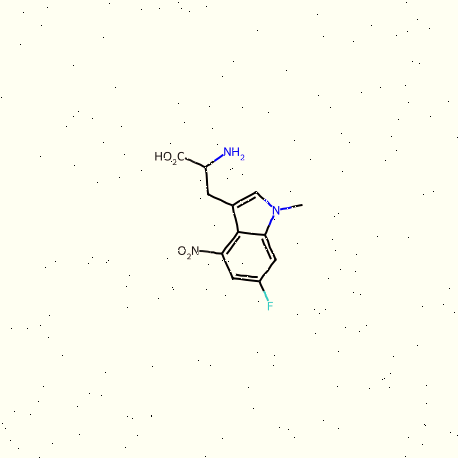 Cn1cc(CC(N)C(=O)O)c2c([N+](=O)[O-])cc(F)cc21